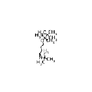 CC(C)(C)/N=C\CCCO[Si](C)(C)C(C)(C)C